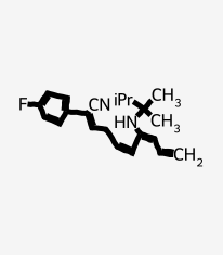 C=C/C=C(\C=C/C/C=C(\C#N)c1ccc(F)cc1)NC(C)(C)C(C)C